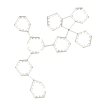 c1ccc(-c2nc(-c3cccc(-c4cccnc4)c3)nc(-c3cccc(C4(c5ccccc5)c5ccccc5-c5ccccc54)c3)n2)cc1